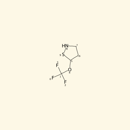 FC(F)(F)OC1[CH]CNS1